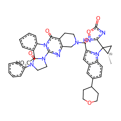 C[C@H]1CC1(c1nc(=O)o[nH]1)n1c(C(=O)N2CCc3c(nc(N4CCN(c5ccccc5)C4=O)n(-c4ccccc4CC(=O)O)c3=O)C2)cc2cc(C3CCOCC3)ccc21